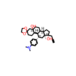 C#CC[C@]1(O)CC[C@H]2[C@@H]3CC[C@@]4(O)CC5(CCC4=C3[C@@H](c3ccc(N(C)C)cc3)C[C@@]21C)OCCO5